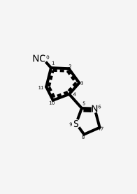 N#Cc1ccc(C2=N[CH]CS2)cc1